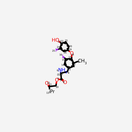 Cc1cc(C[C@H](N)C(=O)OCC(=O)C(C)C)cc(I)c1Oc1ccc(O)c(I)c1